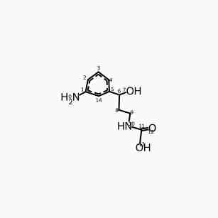 Nc1cccc(C(O)CCNC(=O)O)c1